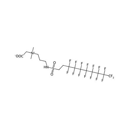 C[N+](C)(CCCNS(=O)(=O)CCC(F)(F)C(F)(F)C(F)(F)C(F)(F)C(F)(F)C(F)(F)C(F)(F)C(F)(F)F)CC(=O)[O-]